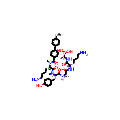 CCCCc1ccc(-c2ccc(C(=O)N(C)[C@@H](CCCCN)C(=O)N(C)[C@@H](Cc3ccc(O)cc3)C(=O)N[C@@H](C)C(=O)N[C@@H](CCCCN)C(=O)N[C@@H](C)B(O)O)cc2)cc1